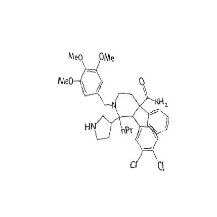 CCCC1(C2CCNC2)C(c2ccc(Cl)c(Cl)c2)C(C(N)=O)(c2ccccc2)CCN1Cc1cc(OC)c(OC)c(OC)c1